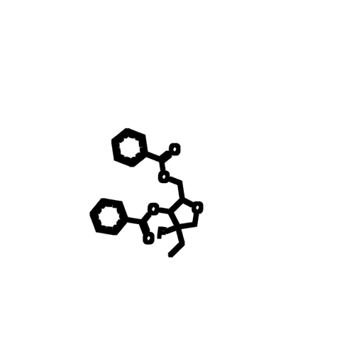 CCC1(F)COC(COC(=O)c2ccccc2)C1OC(=O)c1ccccc1